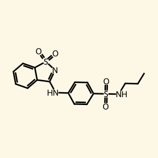 CCCNS(=O)(=O)c1ccc(NC2=NS(=O)(=O)c3ccccc32)cc1